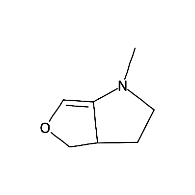 CN1CCC2COC=C21